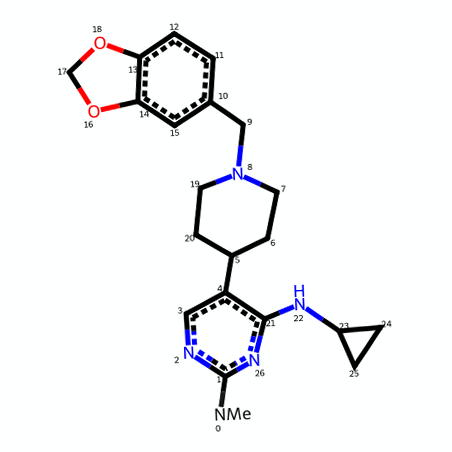 CNc1ncc(C2CCN(Cc3ccc4c(c3)OCO4)CC2)c(NC2CC2)n1